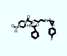 O=[SH]N1CCN(C(=O)[C@H](CCCCN[C@H]2C[C@@H]2c2ccc(F)cc2)NC(=O)c2ccccc2)CC1